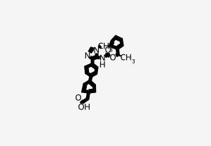 C[C@@H](OC(=O)Nc1c(-c2ccc(-c3ccc(CC(=O)O)cc3)cc2)ncn1C)c1ccccc1